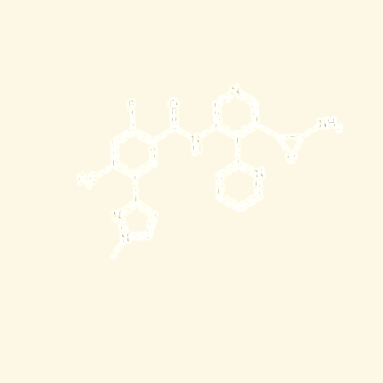 Cn1ccc(-c2cc(C(=O)Nc3cncc(C4OC4N)c3-c3ccccn3)c(F)cc2C(F)(F)F)n1